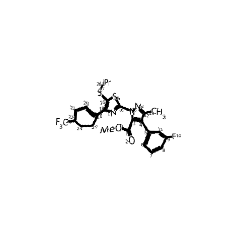 COC(=O)c1c(-c2cccc(F)c2)c(C)nn1-c1nc(C2=CCC(C(F)(F)F)CC2)c(SC(C)C)s1